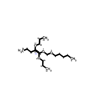 CCCCCOCO/C(OCCC)=C(/CCC)OCCC